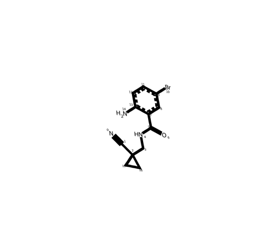 N#CC1(CNC(=O)c2cc(Br)ccc2N)CC1